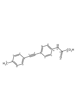 Cc1ccc(C#Cc2ccc(NC(=O)C(=O)O)cc2)cc1